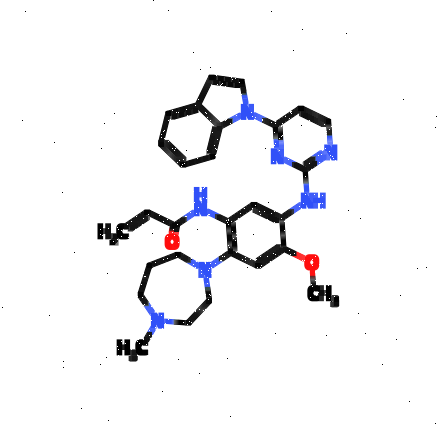 C=CC(=O)Nc1cc(Nc2nccc(-n3ccc4ccccc43)n2)c(OC)cc1N1CCCN(C)CC1